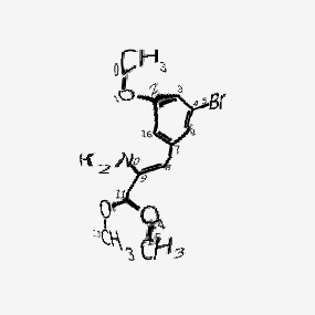 COc1cc(Br)cc(C=C(N)C(OC)OC)c1